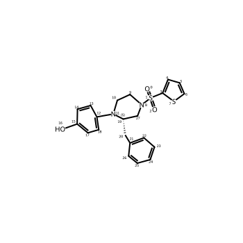 O=S(=O)(c1cccs1)N1CCN(c2ccc(O)cc2)[C@@H](Cc2ccccc2)C1